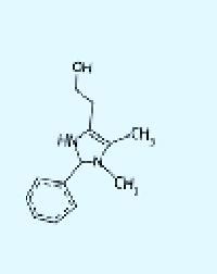 CC1=C(CCO)NC(c2ccccc2)N1C